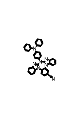 N#Cc1ccc2c(c1)n1c3ccccc3nc1n(-c1ccc(N(c3ccccc3)c3ccccc3)cc1)c1nc3ccccc3n21